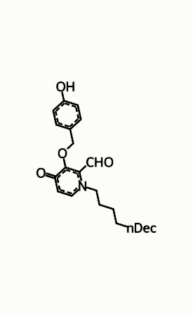 CCCCCCCCCCCCCCn1ccc(=O)c(OCc2ccc(O)cc2)c1C=O